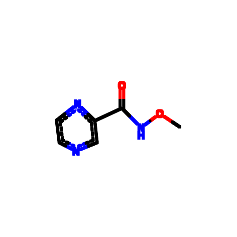 CONC(=O)c1cnccn1